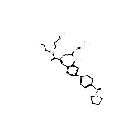 CCCN(CCCO)C(=O)C1=Cc2ccc(C3=CC=C(C(=O)N4CCCC4)CC3)cc2NC(N=NN)C1